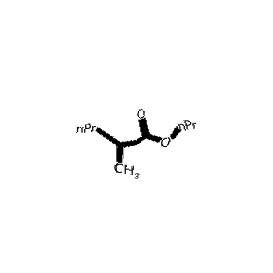 CCCOC(=O)C(C)CCC